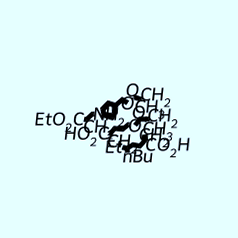 C=C(C)C(=O)OCCCC(=C)C(=O)O.C=C(C)C(=O)OCc1ccccc1.C=C(CCC(CC)CCCC)C(=O)O.C=C(CN)C(=O)OCC